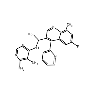 Cc1cc(F)cc2c(-c3ccccn3)c(C(C)Nc3ncnc(N)c3N)cnc12